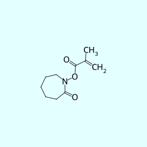 C=C(C)C(=O)ON1CCCCCC1=O